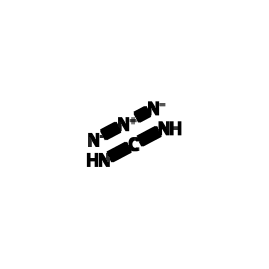 N=C=N.[N-]=[N+]=[N-]